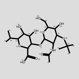 CC(=O)NC1C(OC2C(C(=O)O)OC(C(C)C)C(O)C2O)OC(CO)C(O)C1OC(C)(C)C